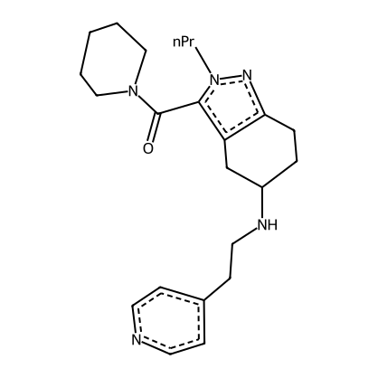 CCCn1nc2c(c1C(=O)N1CCCCC1)CC(NCCc1ccncc1)CC2